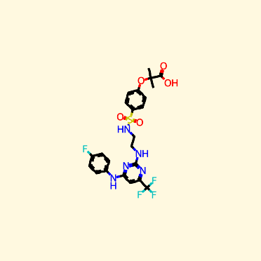 CC(C)(Oc1ccc(S(=O)(=O)NCCNc2nc(Nc3ccc(F)cc3)cc(C(F)(F)F)n2)cc1)C(=O)O